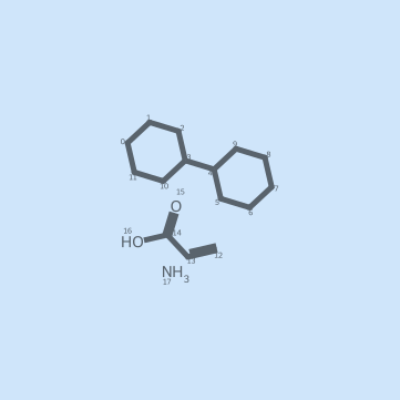 C1CCC(C2CCCCC2)CC1.C=CC(=O)O.N